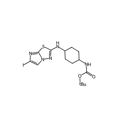 CC(C)(C)OC(=O)NC1CCC(Nc2nn3cc(I)nc3s2)CC1